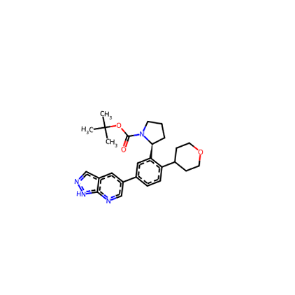 CC(C)(C)OC(=O)N1CCC[C@H]1c1cc(-c2cnc3[nH]ncc3c2)ccc1C1CCOCC1